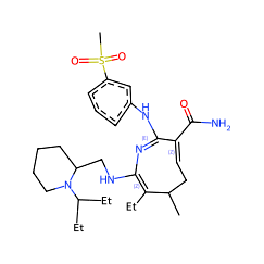 CC/C1=C(NCC2CCCCN2C(CC)CC)/N=C(Nc2cccc(S(C)(=O)=O)c2)\C(C(N)=O)=C\CC1C